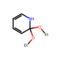 CCOC1(OCC)C=C[C]=CN1